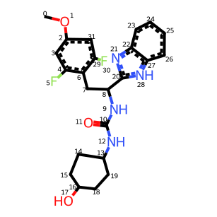 COc1cc(F)c(CC(NC(=O)NC2CCC(O)CC2)c2nc3ccccc3[nH]2)c(F)c1